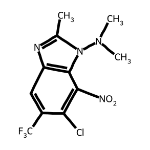 Cc1nc2cc(C(F)(F)F)c(Cl)c([N+](=O)[O-])c2n1N(C)C